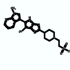 CC(C)c1c(-c2cn(C)c3ncccc23)[nH]c2sc(C3CCN(CCS(C)(=O)=O)CC3)nc12